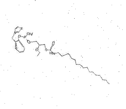 CCCCCCCCCCCCCCCCNC(=O)OCC(COP(O)Oc1ccccc1C[n+]1ccsc1)OCC